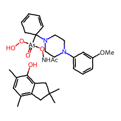 COc1cccc(N2CCN(C3([As](=O)(OO)ONC(C)=O)C=CC=CC3)CC2)c1.Cc1cc(C)c2c(c1O)CC(C)(C)C2